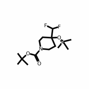 CC(C)(C)OC(=O)N1CCC(O[Si](C)(C)C)(C(F)F)CC1